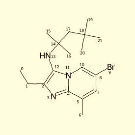 CCc1nc2c(C)cc(Br)cn2c1NC(C)(C)CC(C)(C)C